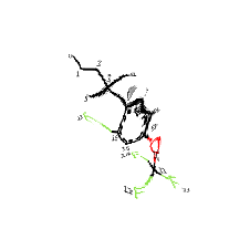 CCCC(C)(C)c1ccc(OC(F)(F)F)cc1F